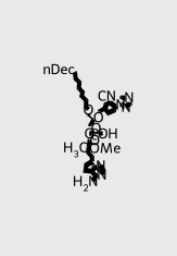 CCCCCCCCCCCCCCCCCCOC[C@H](COP(=O)(O)OC[C@](C)(CCc1ccc2c(N)ncnn12)OC)OCc1ccc(-n2cncn2)c(C#N)c1